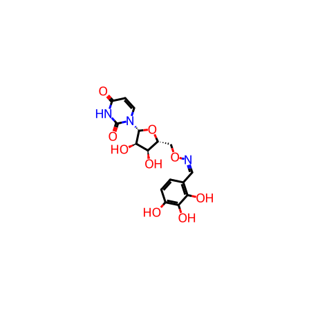 O=c1ccn([C@@H]2O[C@H](CO/N=C\c3ccc(O)c(O)c3O)[C@@H](O)[C@H]2O)c(=O)[nH]1